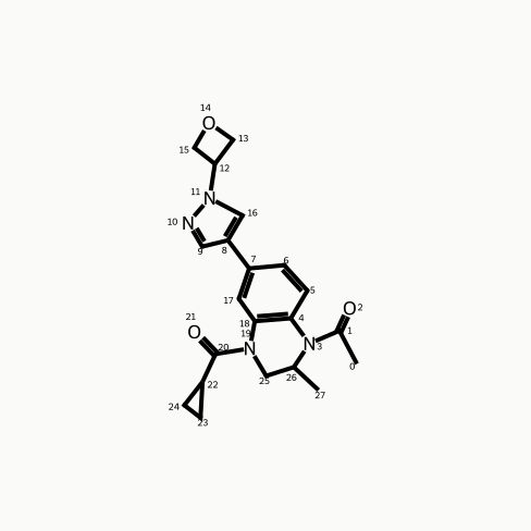 CC(=O)N1c2ccc(-c3cnn(C4COC4)c3)cc2N(C(=O)C2CC2)CC1C